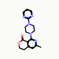 Cc1cc2c(c(N3CCN(c4ncccn4)CC3)n1)C(=O)OCC2